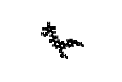 CCOc1cc(-c2ccc(OC)nc2)nc2cc(C(=O)NCCC3=C(C)NNN3)ccc12